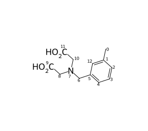 Cc1cccc(CN(CC(=O)O)CC(=O)O)c1